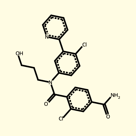 NC(=O)c1ccc(C(=O)N(CCCO)c2ccc(Cl)c(-c3ccccn3)c2)c(Cl)c1